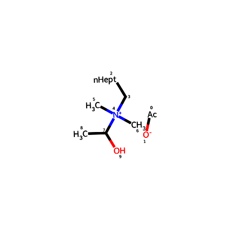 CC(=O)[O-].CCCCCCCC[N+](C)(C)C(C)O